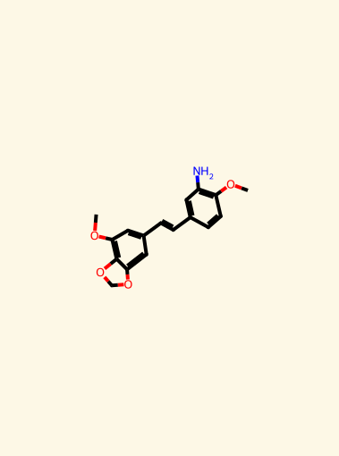 COc1ccc(C=Cc2cc(OC)c3c(c2)OCO3)cc1N